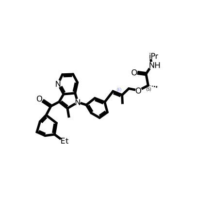 CCc1cccc(C(=O)c2c(C)n(-c3cccc(/C=C(\C)CO[C@@H](C)C(=O)NC(C)C)c3)c3cccnc23)c1